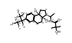 CC(NC(=O)C(C)(C)O)[C@@H]1CC[C@H]2c3ccc(C(F)(C(F)(F)F)C(F)(F)F)cc3CC[C@H]21